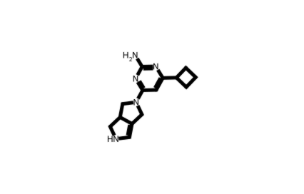 Nc1nc(C2CCC2)cc(N2CC3=CNCC3C2)n1